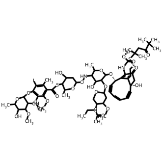 CCN(C(C)=O)C1COC(OC2C(O[C@H]3C#C/C=C\C#C[C@]4(O)CC(=O)C(NC(=O)OC)=C3/C4=C\CSSC(C)(C)CC(=O)C(C)(C)C)OC(C)C(NOC3CC(O)C(SC(=O)c4c(C)c(I)c(OC5OC(C)C(O)C(OC)C5O)c(OC)c4OC)C(C)O3)C2O)CC1OC